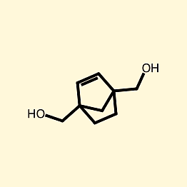 OCC12C=CC(CO)(CC1)C2